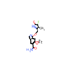 CCOc1cc2c(OCC[C@H]3NC(=O)[C@@H](F)[C@H]3C)nccc2cc1C(N)=O